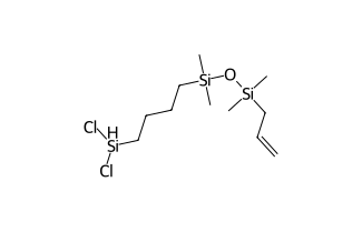 C=CC[Si](C)(C)O[Si](C)(C)CCCC[SiH](Cl)Cl